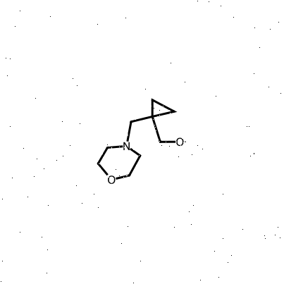 [O]CC1(CN2CCOCC2)CC1